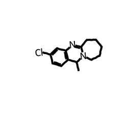 CC1c2ccc(Cl)cc2N=C2CCCCCN21